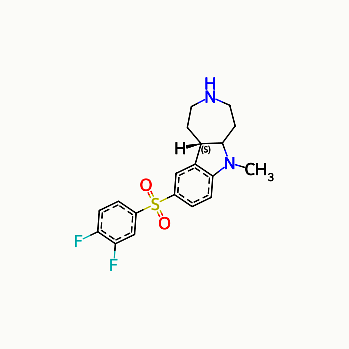 CN1c2ccc(S(=O)(=O)c3ccc(F)c(F)c3)cc2[C@@H]2CCNCCC21